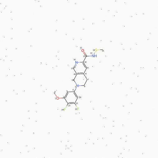 COc1cc(N2CCc3cc(C(=O)NSC)ncc3C2)cc(F)c1F